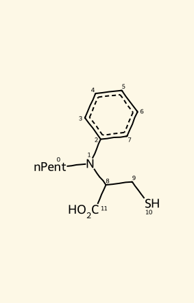 CCCCCN(c1ccccc1)C(CS)C(=O)O